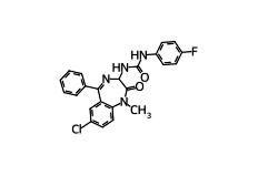 CN1C(=O)C(NC(=O)Nc2ccc(F)cc2)N=C(c2ccccc2)c2cc(Cl)ccc21